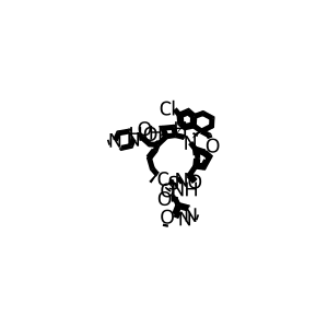 COc1nn(C)cc1C(=O)N[S@@]1(=O)=NC(=O)c2ccc3c(c2)N(C[C@@H]2CC[C@H]2C(O)(CC(=O)N2CCN(C)CC2)/C=C/C[C@H](C)C1)C[C@@]1(CCCc2cc(Cl)ccc21)CO3